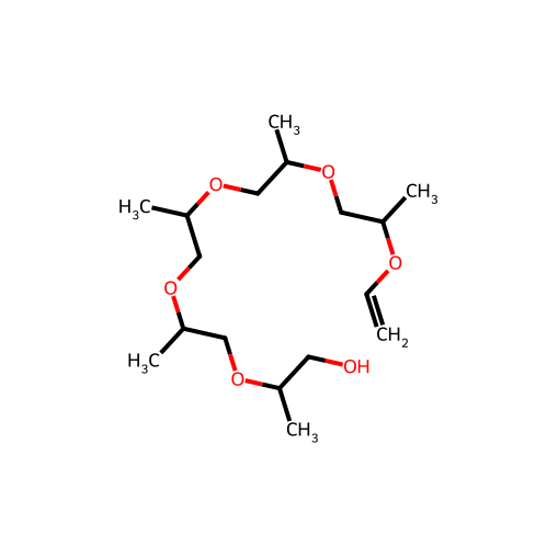 C=COC(C)COC(C)COC(C)COC(C)COC(C)CO